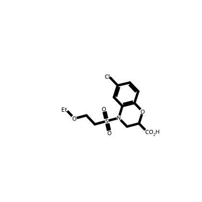 CCOCCS(=O)(=O)N1CC(C(=O)O)Oc2ccc(Cl)cc21